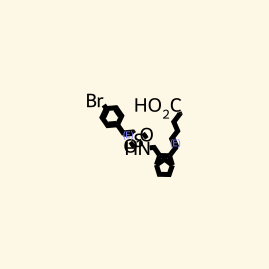 O=C(O)CCC/C=C/C1C2CCC(C2)C1CNS(=O)(=O)/C=C/c1ccc(Br)cc1